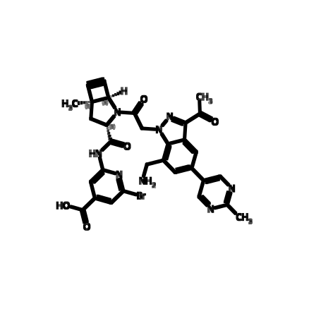 CC(=O)c1nn(CC(=O)N2[C@H](C(=O)Nc3cc(C(=O)O)cc(Br)n3)C[C@@]3(C)C#C[C@@H]23)c2c(CN)cc(-c3cnc(C)nc3)cc12